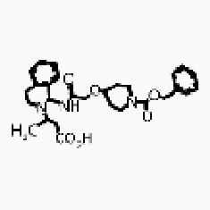 CC(CC(=O)O)N1CCc2ccccc2C1NC(=O)COC1CCN(C(=O)OCc2ccccc2)CC1